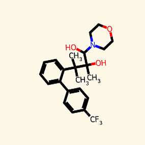 CC(C)(c1ccccc1-c1ccc(C(F)(F)F)cc1)C(C)(O)C(O)N1CCOCC1